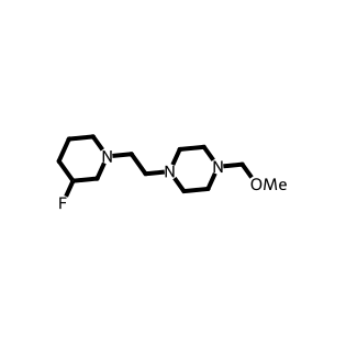 COCN1CCN(CCN2CCCC(F)C2)CC1